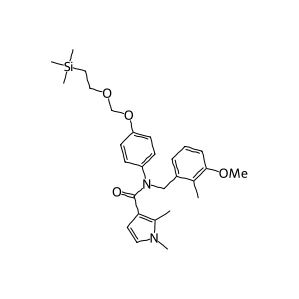 COc1cccc(CN(C(=O)c2ccn(C)c2C)c2ccc(OCOCC[Si](C)(C)C)cc2)c1C